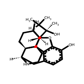 CC12CC[C@@]3(C[C@@H]1[C@](C)(O)C(C)(C)C)[C@H]1Cc4ccc(O)c5c4[C@@]3(CCN1)[C@H]2O5